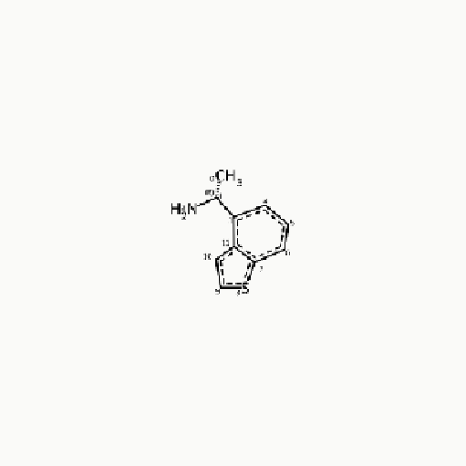 C[C@@H](N)c1cccc2sccc12